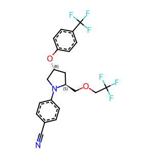 N#Cc1ccc(N2C[C@H](Oc3ccc(C(F)(F)F)cc3)C[C@H]2COCC(F)(F)F)cc1